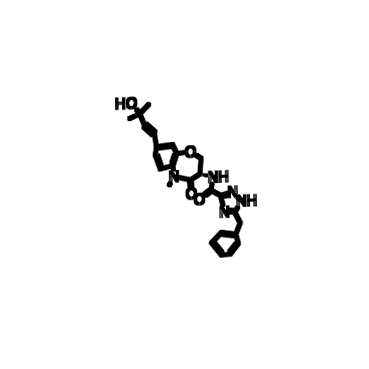 CN1C(=O)[C@@H](NC(=O)c2n[nH]c(Cc3ccccc3)n2)COc2cc(C#CC(C)(C)O)ccc21